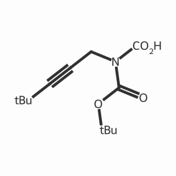 CC(C)(C)C#CCN(C(=O)O)C(=O)OC(C)(C)C